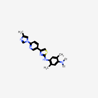 CCN(CC)c1cc(C)c(Nc2nc(-c3ccc(-n4cnc(C)c4)nc3)cs2)cc1C